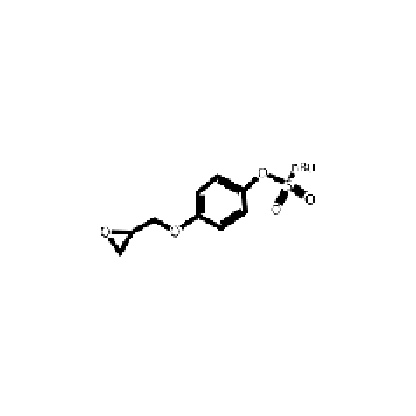 CCCCS(=O)(=O)Oc1ccc(OCC2CO2)cc1